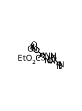 CCOC(=O)c1sc(Nc2nccn3c(-c4cnn(C)c4)cnc23)cc1C1CCN(S(C)(=O)=O)CC1